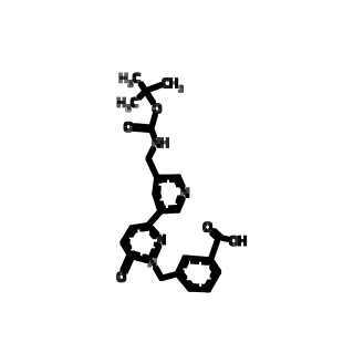 CC(C)(C)OC(=O)NCc1cncc(-c2ccc(=O)n(Cc3cccc(C(=O)O)c3)n2)c1